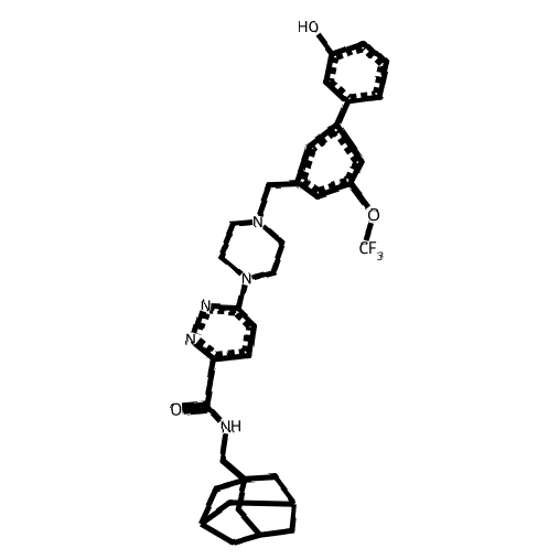 O=C(NCC12CC3CC(CC(C3)C1)C2)c1ccc(N2CCN(Cc3cc(OC(F)(F)F)cc(-c4cccc(O)c4)c3)CC2)nn1